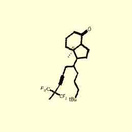 CC(C)(C)CCCC(CC#CC(C)(C(F)(F)F)C(F)(F)F)C1CCC2C(=O)CCC[C@@]21C